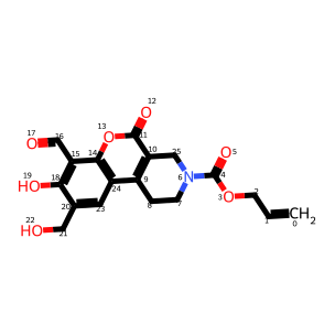 C=CCOC(=O)N1CCc2c(c(=O)oc3c(C=O)c(O)c(CO)cc23)C1